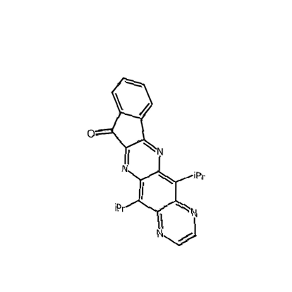 CC(C)c1c2nccnc2c(C(C)C)c2nc3c(nc12)C(=O)c1ccccc1-3